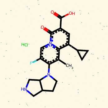 Cc1c(N2CCC3CNCC32)c(F)cn2c(=O)c(C(=O)O)cc(C3CC3)c12.Cl